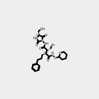 CC(C)C[C@@H](C(=O)NN1C(=O)N[C@@H](CO)C1=O)[C@H](CCCc1ccccc1)C(=O)NOC1CCCCO1